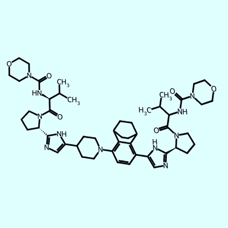 CC(C)C(NC(=O)N1CCOCC1)C(=O)N1CCC[C@H]1c1ncc(-c2ccc(N3CCC(c4cnc([C@@H]5CCCN5C(=O)[C@@H](NC(=O)N5CCOCC5)C(C)C)[nH]4)CC3)c3c2C2CCC3CC2)[nH]1